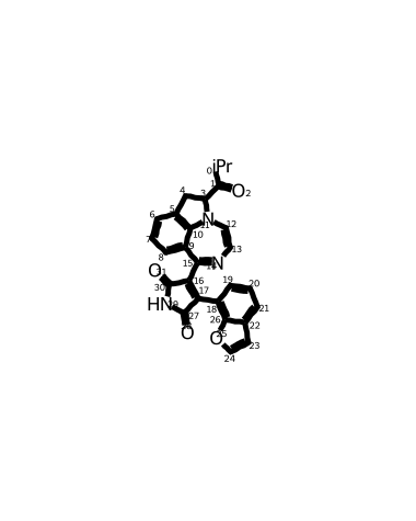 CC(C)C(=O)C1Cc2cccc3c2N1C=CN=C3C1=C(c2cccc3ccoc23)C(=O)NC1=O